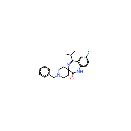 CC(C)C1=NC2(CCN(Cc3ccccc3)CC2)C(=O)Nc2ccc(Cl)cc21